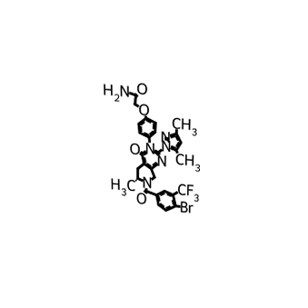 Cc1cc(C)n(-c2nc3c(c(=O)n2-c2ccc(OCC(N)=O)cc2)C[C@@H](C)N(C(=O)c2ccc(Br)c(C(F)(F)F)c2)C3)n1